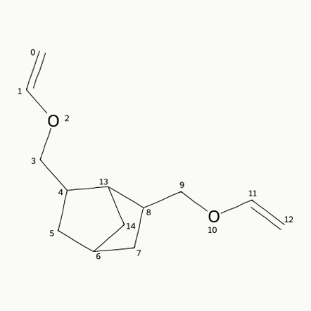 C=COCC1CC2CC(COC=C)C1C2